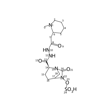 CN1CCCCC1CC(=O)NNC(=O)[C@@H]1CCC2CN1C(=O)N2OS(=O)(=O)O